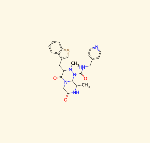 CC1NC(=O)CN2C(=O)C(Cc3csc4ccccc34)N(C)N(C(=O)NCc3ccncc3)C12